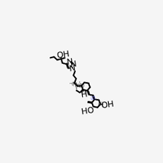 C=C1/C(=C\C=C2CCC[C@]3(C)[C@@H]([C@H](C)CCCn4cc(CC(C)(O)CCC)nn4)CC[C@@H]23)C[C@H](O)CC1O